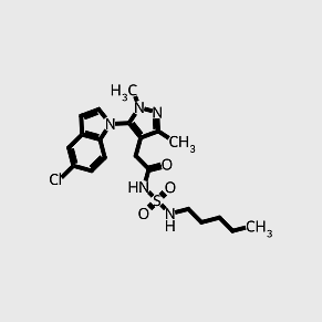 CCCCCNS(=O)(=O)NC(=O)Cc1c(C)nn(C)c1-n1ccc2cc(Cl)ccc21